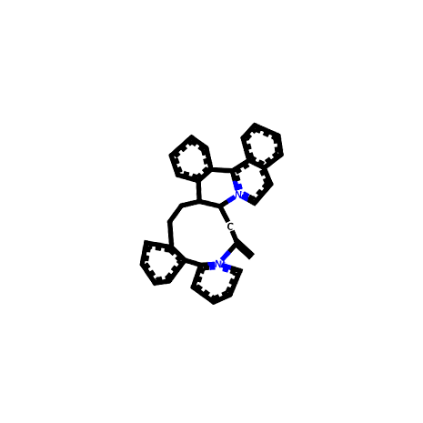 C=C1CC2C(CCc3ccccc3-c3cccc[n+]31)c1ccccc1-c1c3ccccc3cc[n+]12